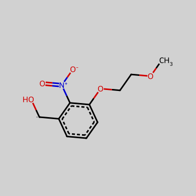 COCCOc1cccc([CH]O)c1[N+](=O)[O-]